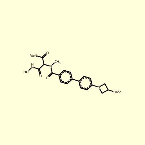 CNC(=O)C(C(=O)NO)N(C)C(=O)c1ccc(-c2ccc(N3CC(OC)C3)cc2)cc1